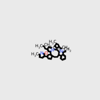 C=CC1=[N+](C(C)C2CCC(C)C2)C2CC(=C)[n+]3ccc(CC(C)C)cc3-c3c(ccc4c3oc3nc(C)ccc34)CCC2c2ccccc21